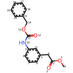 COC(=O)[CH]c1cccc(NC(=O)OCc2ccccc2)c1